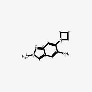 Cn1cc2cc(N)c(N3CCC3)cc2n1